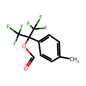 Cc1ccc(C(OC=O)(C(F)(F)F)C(F)(F)F)cc1